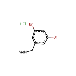 CNCc1cc(Br)cc(Br)c1.Cl